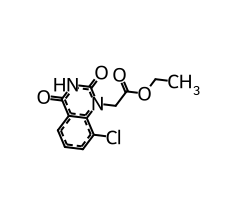 CCOC(=O)Cn1c(=O)[nH]c(=O)c2cccc(Cl)c21